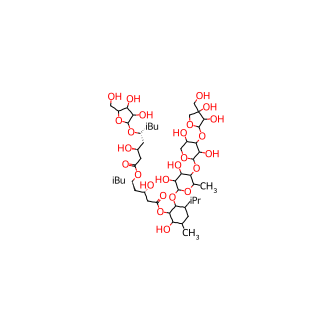 CC[C@H](C)[C@H](C[C@H](O)CC(=O)OC1C(O)C(C)CC(C(C)C)C1OC1OC(C)C(OC2OCC(O)C(OC3OCC(O)(CO)C3O)C2O)C(O)C1O)OC(=O)C[C@@H](O)C[C@H](OC1OC(CO)C(O)C1O)[C@@H](C)CC